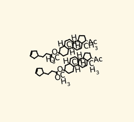 CC(=O)[C@H]1CC[C@H]2[C@@H]3CC[C@H]4C[C@](C)(OC(=O)CCC5CC=CC5)CC[C@]4(C)[C@H]3CC[C@]12C.CC(=O)[C@H]1CC[C@H]2[C@@H]3CC[C@H]4C[C@](C)(OC(=O)CCC5CC=CC5)CC[C@]4(C)[C@H]3CC[C@]12C